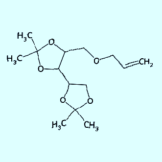 C=CCOCC1OC(C)(C)OC1C1COC(C)(C)O1